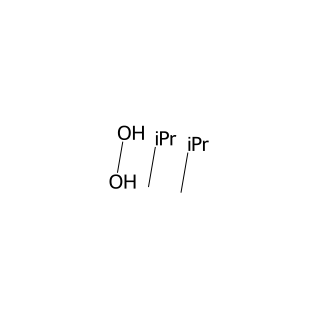 CC(C)C.CC(C)C.OO